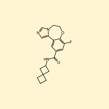 O=C(NC1CC2(CCC2)C1)c1cc(F)c2c(c1)-c1cncn1CCO2